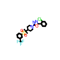 CC(C)(C1CCN(c2nnc(-c3ccccc3Cl)o2)CC1)S(=O)(=O)c1cccc(C(F)(F)F)c1